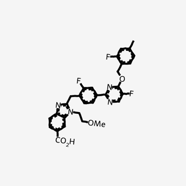 COCCn1c(Cc2ccc(-c3ncc(F)c(OCc4ccc(C)cc4F)n3)cc2F)nc2ccc(C(=O)O)cc21